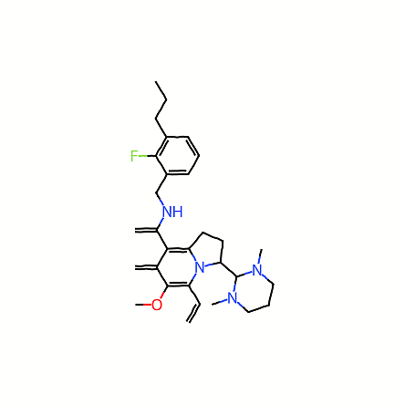 C=CC1=C(OC)C(=C)C(C(=C)NCc2cccc(CCC)c2F)=C2CCC(C3N(C)CCCN3C)N12